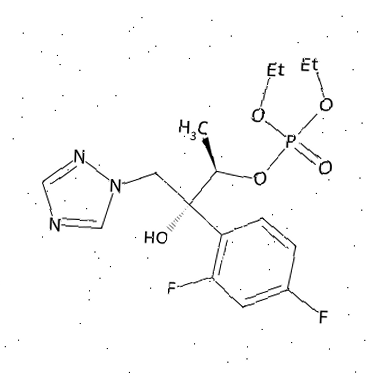 CCOP(=O)(OCC)O[C@H](C)[C@](O)(Cn1cncn1)c1ccc(F)cc1F